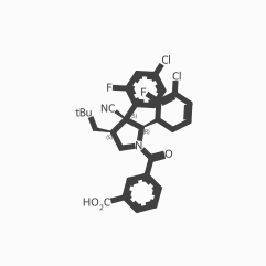 CC(C)(C)C[C@@H]1CN(C(=O)c2cccc(C(=O)O)c2)[C@H](C2CC=CC(Cl)=C2F)[C@@]1(C#N)c1ccc(Cl)cc1F